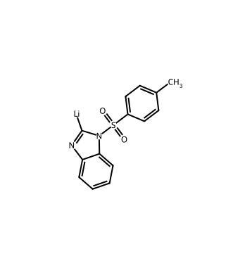 [Li][c]1nc2ccccc2n1S(=O)(=O)c1ccc(C)cc1